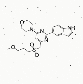 COCCCS(=O)(=O)Cc1cc(N2CCOCC2)nc(-c2ccc3[nH]ccc3c2)n1